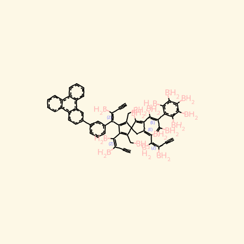 BCC1=C(/C(B)=C(/B)C#C)C(/C(=C(/B)C#C)c2cccc(-c3ccc4c5ccccc5c5ccccc5c4c3)c2)=C(CB)C12C/C(=C(B)\C(B)=C(\B)C#C)C(/C(B)=C(\C(B)=C)c1c(B)c(B)c(B)c(B)c1B)=C2B